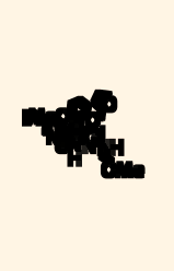 COCCNc1nc(NS(=O)(=O)c2ccc(C(C)C)cn2)c(Oc2ccccc2OC)c(OCC2CCCO2)n1